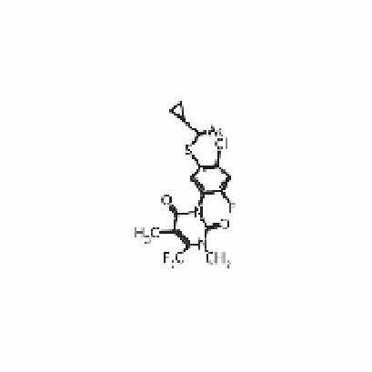 CC(=O)C(Sc1cc(-n2c(=O)c(C)c(C(F)(F)F)n(C)c2=O)c(F)cc1Cl)C1CC1